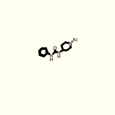 CC(=O)N1CCC(NC(=O)Nc2ccccc2)CC1